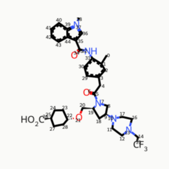 Cc1cc(CC(=O)N2C[C@@H](N3CCN(CC(F)(F)F)CC3)C[C@H]2CO[C@H]2CC[C@H](C(=O)O)CC2)ccc1NC(=O)c1cn(C)c2ccccc12